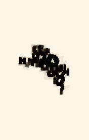 C[C@@]1(c2cc(NC(=O)c3ncc(CI)cc3CI)ccc2F)C[C@@H](C(F)(F)F)OC(N)=N1